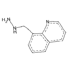 NNCc1cccc2cccnc12